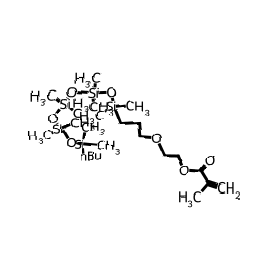 C=C(C)C(=O)OCCOCCC[Si](C)(C)O[Si](C)(C)O[Si](C)(C)O[Si](C)(C)O[Si](C)(C)CCCC